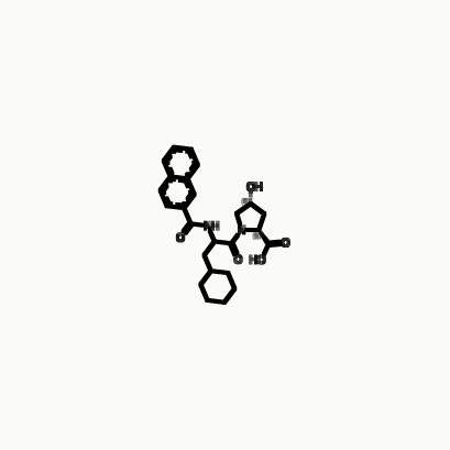 O=C(NC(CC1CCCCC1)C(=O)N1C[C@H](O)C[C@H]1C(=O)O)c1ccc2ccccc2c1